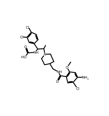 COc1cc(N)c(Cl)cc1C(=O)NCC1CCN(C(C)C(NC(=O)O)c2ccc(Cl)c(Cl)c2)CC1